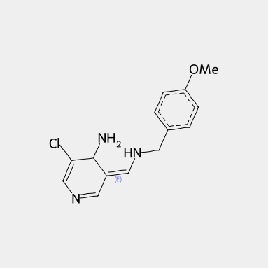 COc1ccc(CN/C=C2/C=NC=C(Cl)C2N)cc1